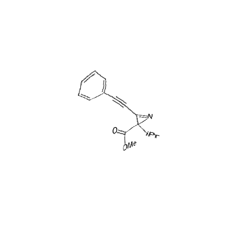 COC(=O)C1(C(C)C)N=C1C#Cc1ccccc1